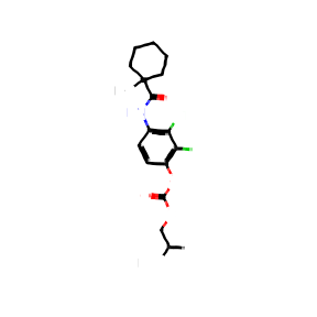 CC(C)COC(=O)Oc1ccc(NC(=O)C2(C)CCCCC2)c(Cl)c1Cl